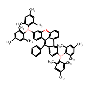 Cc1cc(C)c(B(c2ccc3c(c2)Oc2cccc4c2c-3c(-c2ccccc2)c2ccc(B(c3c(C)cc(C)cc3C)c3c(C)cc(C)cc3C)cc24)c2c(C)cc(C)cc2C)c(C)c1